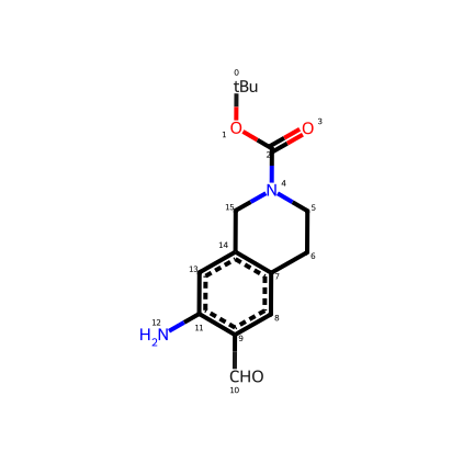 CC(C)(C)OC(=O)N1CCc2cc(C=O)c(N)cc2C1